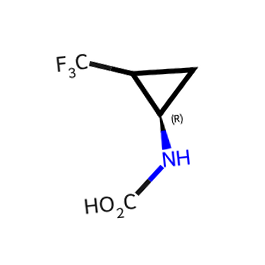 O=C(O)N[C@@H]1CC1C(F)(F)F